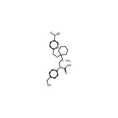 C[C@H](CN(C(=O)O)c1ccc(CO)cc1)C1(SSc2ccc([N+](=O)[O-])cn2)CCCCC1